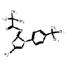 Cc1cn(-c2ccc(C(C)(C)C)cc2)c(=NC(=O)C(C)(C)C)s1